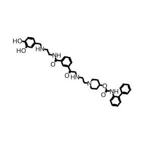 O=C(Nc1ccccc1-c1ccccc1)OC1CCN(CCNCC(=O)c2cccc(C(=O)NCCNCc3ccc(O)c(O)c3)c2)CC1